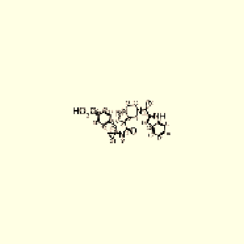 CN(C(=O)c1cnn2c1CN(C(=O)c1cc3ccccc3[nH]1)CC2)C1(Cc2ccc(C(=O)O)cc2)CC1